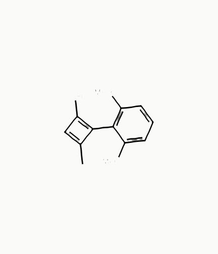 COc1cccc(OC)c1C1=C(C(C)(C)C)C=C1C